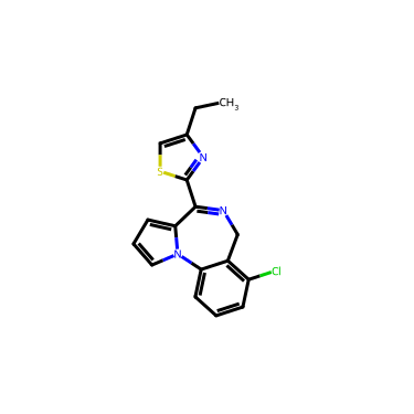 CCc1csc(C2=NCc3c(Cl)cccc3-n3cccc32)n1